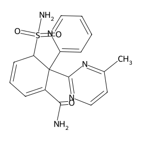 Cc1ccnc(C2(c3ccccn3)C(C(N)=O)=CC=CC2S(N)(=O)=O)n1